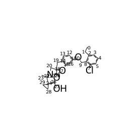 CCc1cccc(Cl)c1COc1ccc2c(c1)OC1(C2)CN(C(C)C2(C(=O)O)CC2)C1